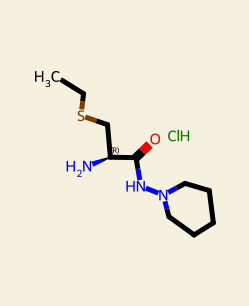 CCSC[C@H](N)C(=O)NN1CCCCC1.Cl